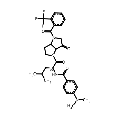 CC(C)C[C@H](NC(=O)c1ccc(N(C)C)cc1)C(=O)N1CCC2C1C(=O)CN2C(=O)c1ccccc1C(F)(F)F